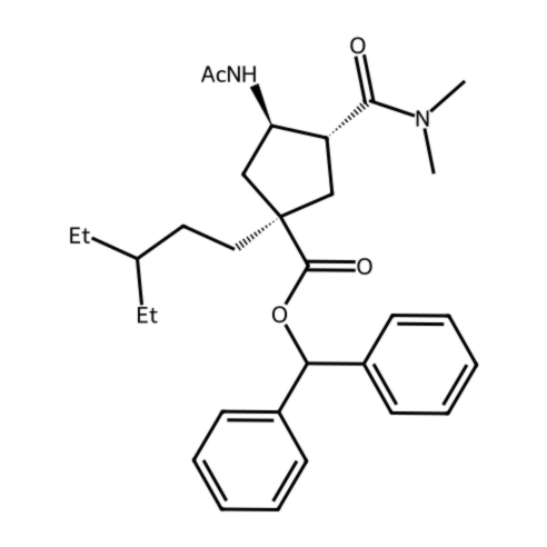 CCC(CC)CC[C@]1(C(=O)OC(c2ccccc2)c2ccccc2)C[C@@H](NC(C)=O)[C@H](C(=O)N(C)C)C1